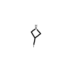 IC1CBC1